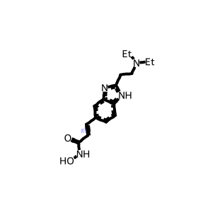 CCN(CC)CCc1nc2cc(/C=C/C(=O)NO)ccc2[nH]1